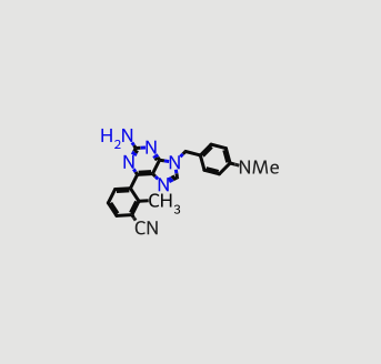 CNc1ccc(Cn2cnc3c(-c4cccc(C#N)c4C)nc(N)nc32)cc1